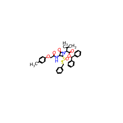 C=C(C)C(C(=O)OC(c1ccccc1)c1ccccc1)N1C(=O)C(NC(=O)COc2ccc(C)cc2)C1[S+]([O-])SCc1ccccc1